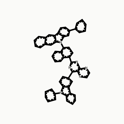 c1ccc(-c2ccc3c4cc5ccccc5cc4n(-c4ccc(-c5nc(-c6ccc7c(c6)c6ccccc6n7-c6ccccc6)c6nccnc6n5)c5ccccc45)c3c2)cc1